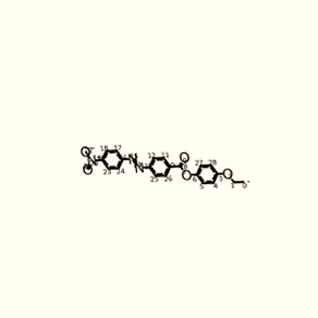 [CH2]COc1ccc(OC(=O)c2ccc(N=Nc3ccc([N+](=O)[O-])cc3)cc2)cc1